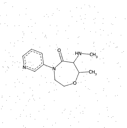 CNC1C(=O)N(c2cccnc2)CCOC1C